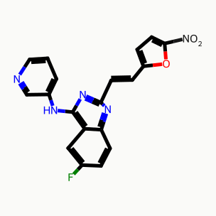 O=[N+]([O-])c1ccc(C=Cc2nc(Nc3cccnc3)c3cc(F)ccc3n2)o1